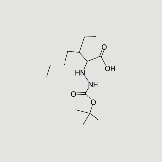 CCCCC(CC)C(NNC(=O)OC(C)(C)C)C(=O)O